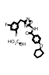 O=C(Nc1nc(Cc2cc(F)cc(F)c2)no1)c1ccc(OC2CCCCC2)cc1.O=C(O)O